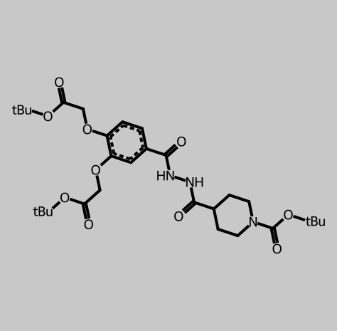 CC(C)(C)OC(=O)COc1ccc(C(=O)NNC(=O)C2CCN(C(=O)OC(C)(C)C)CC2)cc1OCC(=O)OC(C)(C)C